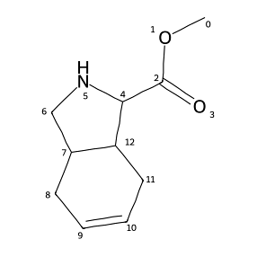 COC(=O)C1NCC2CC=CCC21